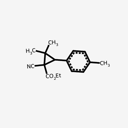 CCOC(=O)C1(C#N)C(c2ccc(C)cc2)C1(C)C